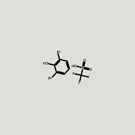 CC(C)c1cccc(C(C)C)c1O.O=S(=O)(O)C(F)(F)F